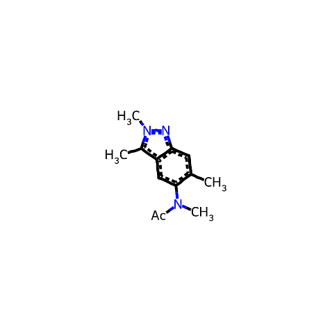 CC(=O)N(C)c1cc2c(C)n(C)nc2cc1C